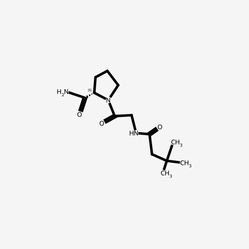 CC(C)(C)CC(=O)NCC(=O)N1CCC[C@H]1C(N)=O